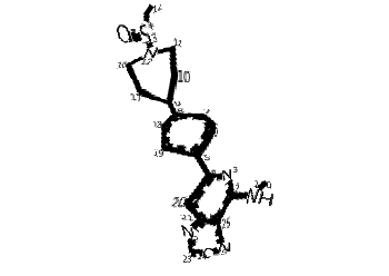 CNc1nc(-c2ccc(C3CCN([S+](C)[O-])CC3)cc2)cc2nccnc12